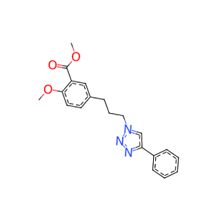 COC(=O)c1cc(CCCn2cc(-c3ccccc3)nn2)ccc1OC